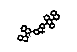 CC1(C)c2ccc(-c3cc4ccccc4c4c3oc3ccc5ccccc5c34)cc2-c2ccc(-c3c4ccccc4c(-c4cccc5ccccc45)c4ccccc34)cc21